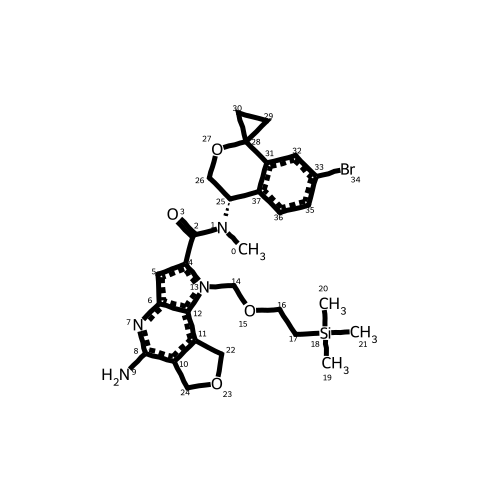 CN(C(=O)c1cc2nc(N)c3c(c2n1COCC[Si](C)(C)C)COC3)[C@@H]1COC2(CC2)c2cc(Br)ccc21